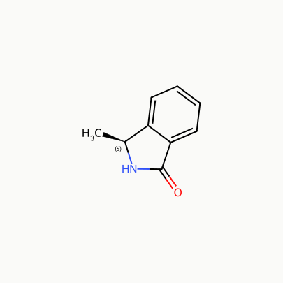 C[C@@H]1NC(=O)c2ccccc21